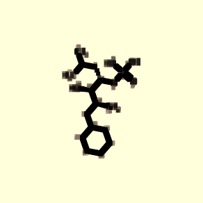 CC(C)C[C@H](OP(=O)(O)O)[C@H](O)[C@@H](N)CC1CCCCC1